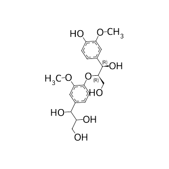 COc1cc([C@@H](O)[C@@H](CO)Oc2ccc(C(O)C(O)CO)cc2OC)ccc1O